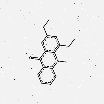 CCc1cc(CC)c2c(c1)c(=O)c1ccccc1n2C